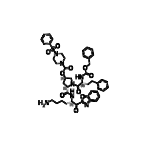 NCCCC[C@H](NC(=O)[C@@H]1C[C@@H](OC(=O)N2CCN(S(=O)(=O)c3ccccc3)CC2)CN1C(=O)[C@@H](CCc1ccccc1)NC(=O)OCc1ccccc1)C(=O)c1nc2ccccc2o1